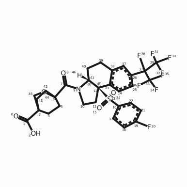 O=C(O)C12CCC(C(=O)N3CC[C@@]4(S(=O)(=O)c5ccc(F)cc5)c5ccc(C(F)(C(F)(F)F)C(F)(F)F)cc5CC[C@@H]34)(CC1)OC2